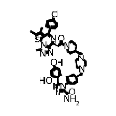 Cc1sc2c(c1C)C(c1ccc(Cl)cc1)=N[C@@H](CC(=O)N1CCC(CN3CCN(Cc4ccc(-n5c(C(N)=O)nnc5-c5ccc(O)cc5O)cc4)CC3)CC1)c1nnc(C)n1-2